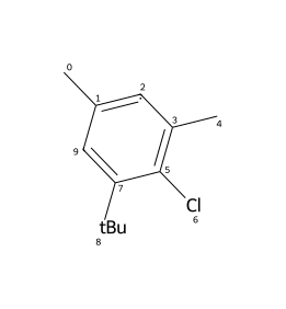 Cc1[c]c(C)c(Cl)c(C(C)(C)C)c1